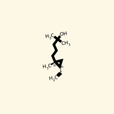 C=C[C@H]1C[C@@]1(C)CCCC(C)(C)O